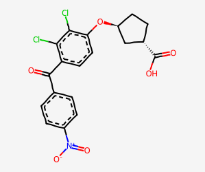 O=C(c1ccc([N+](=O)[O-])cc1)c1ccc(O[C@H]2CC[C@H](C(=O)O)C2)c(Cl)c1Cl